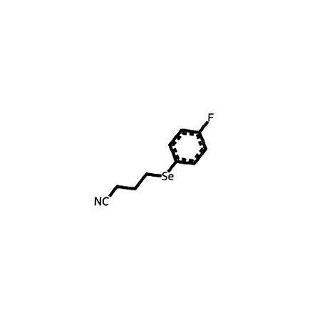 N#CCCC[Se]c1ccc(F)cc1